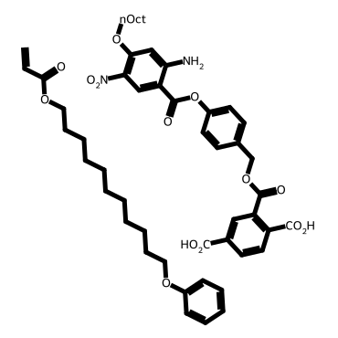 C=CC(=O)OCCCCCCCCCCCOc1ccccc1.CCCCCCCCOc1cc(N)c(C(=O)Oc2ccc(COC(=O)c3cc(C(=O)O)ccc3C(=O)O)cc2)cc1[N+](=O)[O-]